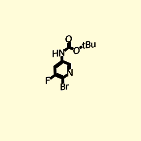 CC(C)(C)OC(=O)Nc1cnc(Br)c(F)c1